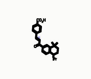 CC(C)C1CCC(C)(C)c2cc(C(=O)/C=C/c3ccc(C(=O)O)cc3)ccc21